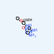 COc1cc([C@@H](Nc2ccc(C(=N)N)cc2)C(=O)NCc2ccc(N)cc2)ccc1OCc1ccccc1